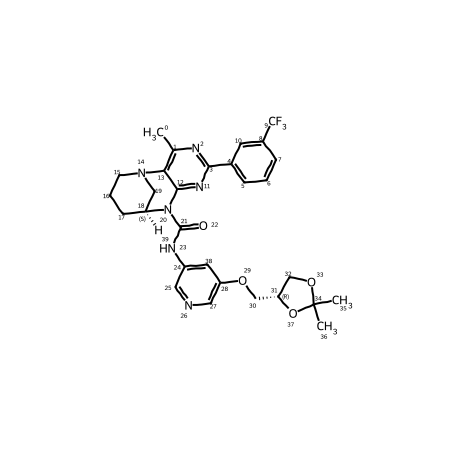 Cc1nc(-c2cccc(C(F)(F)F)c2)nc2c1N1CCC[C@@H](C1)N2C(=O)Nc1cncc(OC[C@@H]2COC(C)(C)O2)c1